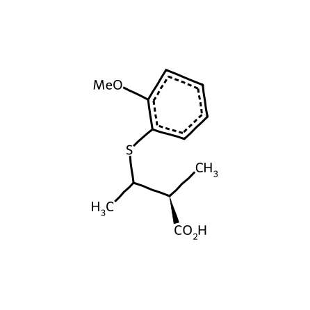 COc1ccccc1SC(C)[C@@H](C)C(=O)O